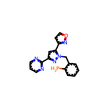 Pc1ccccc1Cn1nc(-c2ncccn2)cc1-c1ccon1